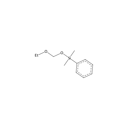 CCOCO[Si](C)(C)c1ccccc1